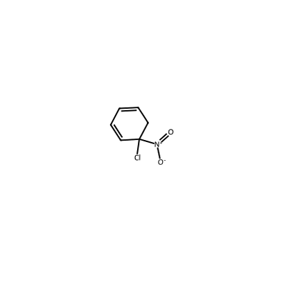 O=[N+]([O-])C1(Cl)C=CC=CC1